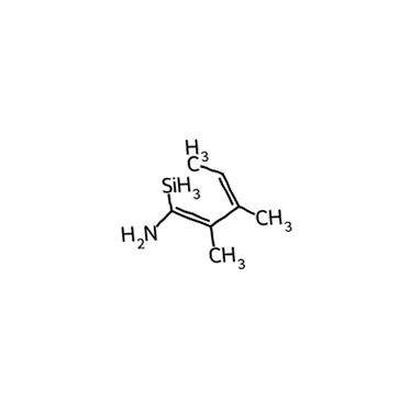 CC=C(C)C(C)=C(N)[SiH3]